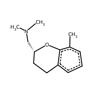 Cc1cccc2c1O[C@@H](CN(C)C)CC2